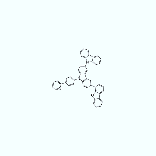 c1ccc(-c2ccc(-n3c4ccc(-c5cccc6c5oc5ccccc56)cc4c4cc(-n5c6ccccc6c6ccccc65)ccc43)cc2)nc1